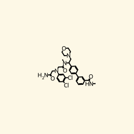 CNC(=O)c1cccc(-c2ccc(C(CN3CCOCC3)N(C)C(=O)CN(CC(N)=O)c3ccc(Cl)c(Cl)c3)cc2)c1